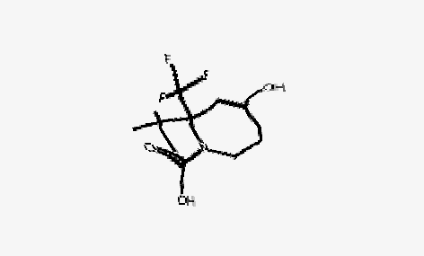 CC(C)(C)C1(C(F)(F)F)CC(O)CCN1C(=O)O